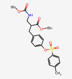 Cc1ccc(S(=O)(=O)Oc2ccc(CC(CNC(=O)OC(C)(C)C)C(=O)OC(C)(C)C)cc2)cc1